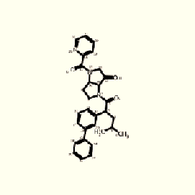 CC(C)CC(C(=O)N1CCC2C1C(=O)CN2C(=O)c1ccccn1)c1cccc(-c2ccccc2)c1